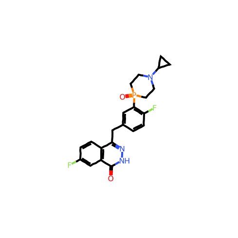 O=c1[nH]nc(Cc2ccc(F)c(P3(=O)CCN(C4CC4)CC3)c2)c2ccc(F)cc12